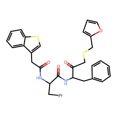 CC(C)CC(NC(=O)Cc1csc2ccccc12)C(=O)NC(Cc1ccccc1)C(=O)CSCc1ccco1